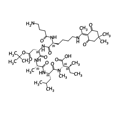 CC[C@H](C)[C@@H](C(=O)O)N(C)C(=O)[C@H](CC(C)C)NC(=O)[C@H](C)NC(=O)[C@H](CC(=O)OC(C)(C)C)NC(=O)[C@H](CCCCNC(C)=C1C(=O)CC(C)(C)CC1=O)NC(=O)CCCN